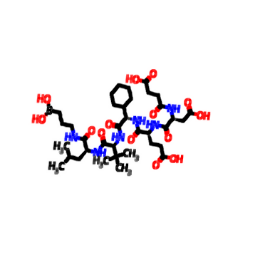 CC(C)C[C@H](NC(=O)[C@@H](NC(=O)[C@@H](NC(=O)[C@H](CCC(=O)O)NC(=O)[C@H](CC(=O)O)NC(=O)CCC(=O)O)C1CCCCC1)C(C)(C)C)C(=O)NCCCB(O)O